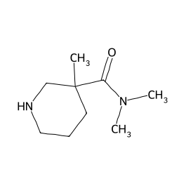 CN(C)C(=O)C1(C)CCCNC1